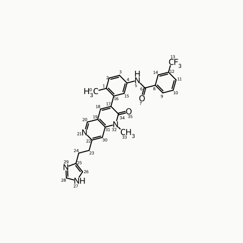 Cc1ccc(NC(=O)c2cccc(C(F)(F)F)c2)cc1-c1cc2cnc(CCc3c[nH]cn3)cc2n(C)c1=O